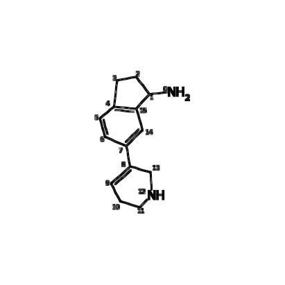 NC1CCc2ccc(C3=CCCNC3)cc21